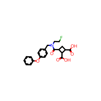 O=C(O)C1CC(C(=O)N(CCF)Cc2ccc(Oc3ccccc3)cc2)C1C(=O)O